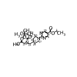 CCOC(=O)c1cnc(N2CCC(CN(CC(=O)O)C(=O)OC(C)(C)C)CC2)nc1